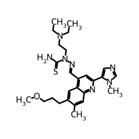 CCN(CC)CCN(/N=C/c1cc(-c2cncn2C)nc2cc(C)c(CCCOC)cc12)C(N)=S